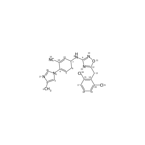 Cc1cn(C2=CCC(Nc3noc(Cc4c(Cl)cccc4Cl)n3)C=C2C#N)cn1